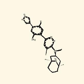 CN(c1nnc(-c2cc(F)c(-c3cn[nH]c3)cc2O)cc1F)[C@@H]1C[C@]2(C)CCC[C@](C)(C1)N2